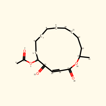 CC(=O)OC1CCCCCCCCCC(C)OC(=O)C=CC1=O